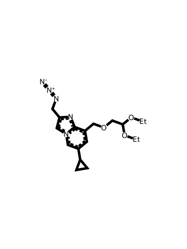 CCOC(COCc1cc(C2CC2)cn2cc(CN=[N+]=[N-])nc12)OCC